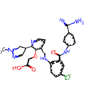 CN1CC(c2nccc(CNc3ccc(Cl)cc3C(=O)Nc3ccc(C(=N)N)cc3)c2OCC(=O)O)C=N1